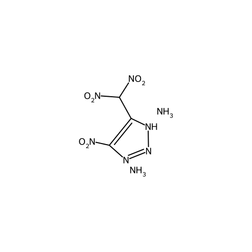 N.N.O=[N+]([O-])c1nn[nH]c1C([N+](=O)[O-])[N+](=O)[O-]